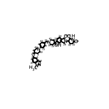 Cn1ncc2cc(OC3CCN(c4ccc(CN5CCC(O)(c6ccc7c(c6)CN(C6CCC(=O)NC6=O)C7=O)CC5)cc4)CC3)ccc21